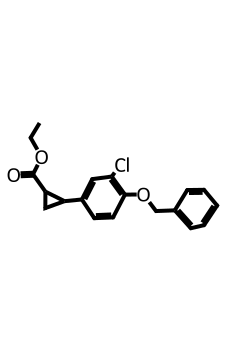 CCOC(=O)C1CC1c1ccc(OCc2ccccc2)c(Cl)c1